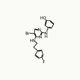 Oc1cccc(Nc2ncc(Br)c(NCCc3ccc(F)cc3)n2)c1